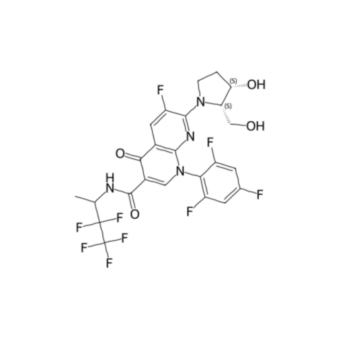 CC(NC(=O)c1cn(-c2c(F)cc(F)cc2F)c2nc(N3CC[C@H](O)[C@@H]3CO)c(F)cc2c1=O)C(F)(F)C(F)(F)F